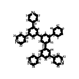 c1ccc(-c2cc(-c3cc(-c4ccncc4)cc(-c4ccncc4)c3)cc(-c3cc(-c4ccncc4)cc(-c4ccncc4)c3)c2)cc1